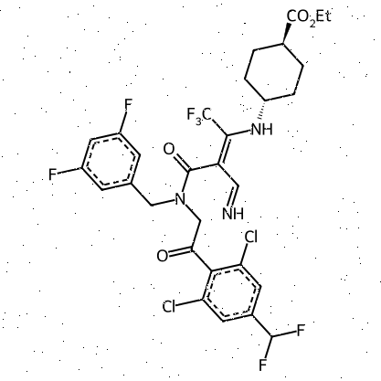 CCOC(=O)[C@H]1CC[C@H](N/C(=C(\C=N)C(=O)N(CC(=O)c2c(Cl)cc(C(F)F)cc2Cl)Cc2cc(F)cc(F)c2)C(F)(F)F)CC1